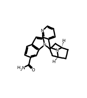 NC(=O)c1ccc2ccn(C3C[C@H]4CC[C@@H](C3)N4Cc3cccnc3)c2c1